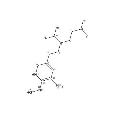 CC(C)CCC(CCC1=CC(N)=C(NO)NC1)C(C)C